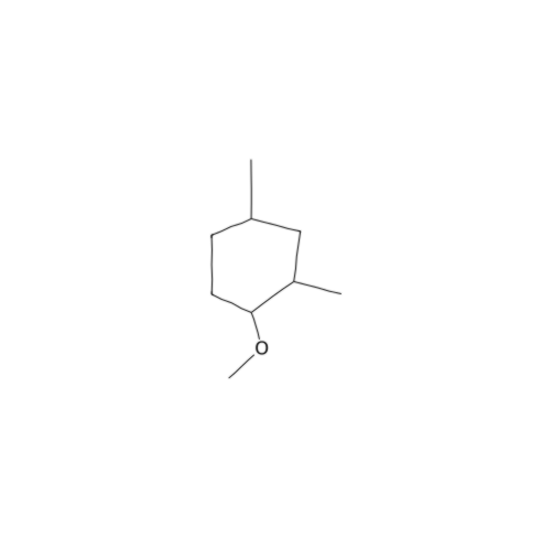 COC1CCC(C)CC1C